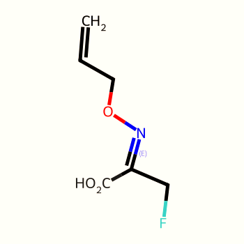 C=CCO/N=C(/CF)C(=O)O